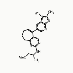 COC[C@H](C)Nc1ncc2c(n1)CCCC=C2c1cnc2nc(C)n(C(C)C)c2c1